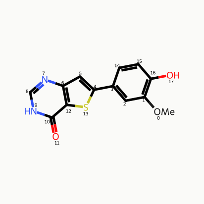 COc1cc(-c2cc3nc[nH]c(=O)c3s2)ccc1O